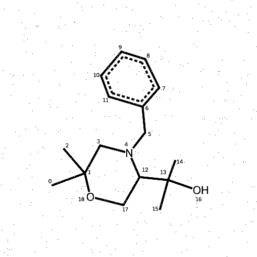 CC1(C)CN(Cc2ccccc2)C(C(C)(C)O)CO1